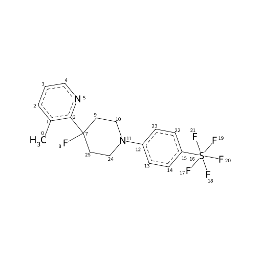 Cc1cccnc1C1(F)CCN(c2ccc(S(F)(F)(F)(F)F)cc2)CC1